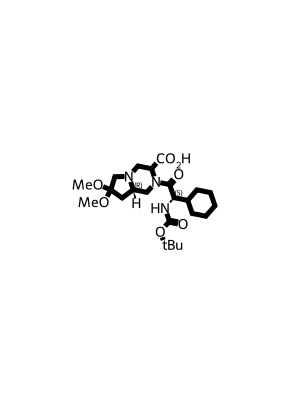 COC1(OC)C[C@@H]2CN(C(=O)[C@@H](NC(=O)OC(C)(C)C)C3CCCCC3)C(C(=O)O)CN2C1